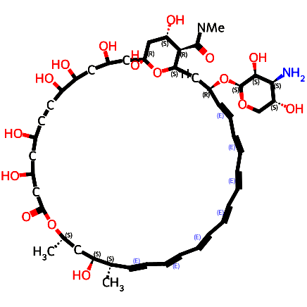 CNC(=O)[C@H]1[C@@H]2C[C@@H](O[C@@H]3OC[C@@H](O)[C@H](N)[C@@H]3O)/C=C/C=C/C=C/C=C/C=C/C=C/C=C/[C@H](C)[C@@H](O)C[C@H](C)OC(=O)CC(O)CC(O)CCC(O)C(O)CC(O)C[C@](O)(C[C@@H]1O)O2